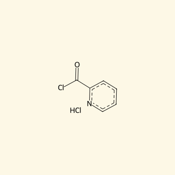 Cl.O=C(Cl)c1ccccn1